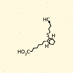 C#CCCCS[C@H]1[C@H]2CC[C@H](C2)[C@H]1CCCCCCC(=O)O